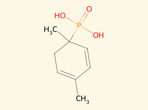 CC1=CCC(C)(P(=O)(O)O)C=C1